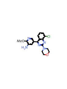 COc1ncc(-c2nc(N3CCOCC3)nc3c(Cl)cccc23)cc1N